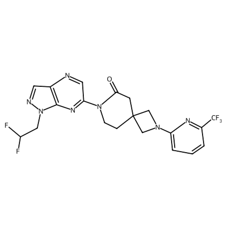 O=C1CC2(CCN1c1cnc3cnn(CC(F)F)c3n1)CN(c1cccc(C(F)(F)F)n1)C2